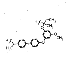 CCC(C)(C)Oc1cc(OC)cc(Oc2ccc(-c3ccc(C(C)C)cc3)cc2)c1